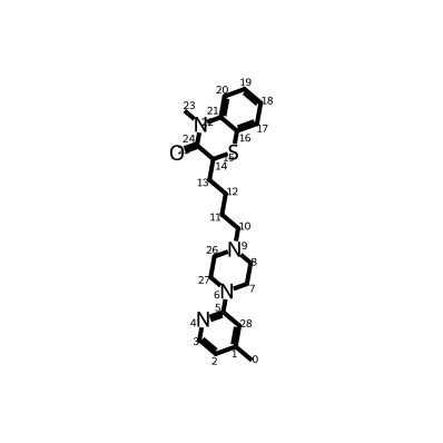 Cc1ccnc(N2CCN(CCCCC3Sc4ccccc4N(C)C3=O)CC2)c1